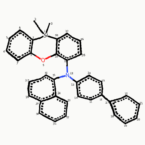 C[Si]1(C)c2ccccc2Oc2c(N(c3ccc(-c4ccccc4)cc3)c3cccc4ccccc34)cccc21